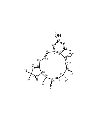 Cc1cc(O)cc2c1C(=O)O[C@@H](C)[C@H](C)/C=C(/F)C(C)C1OC(C)(C)OC1C/C=C/2